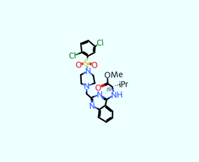 COC(=O)[C@@H](Nc1nc(CN2CCN(S(=O)(=O)c3cc(Cl)ccc3Cl)CC2)nc2ccccc12)C(C)C